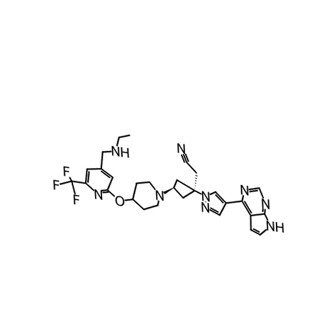 CCNCc1cc(OC2CCN([C@H]3C[C@@](CC#N)(n4cc(-c5ncnc6[nH]ccc56)cn4)C3)CC2)nc(C(F)(F)F)c1